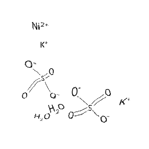 O.O.O=S(=O)([O-])[O-].O=S(=O)([O-])[O-].[K+].[K+].[Ni+2]